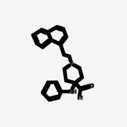 CCC(=O)C1(Nc2ccccc2)CCN(CCc2cccc3ccccc23)CC1